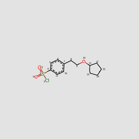 O=S(=O)(Cl)c1ccc(CCOC2CCCC2)cc1